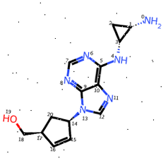 N[C@H]1C[C@H]1Nc1ncnc2c1ncn2[C@H]1C=C[C@@H](CO)C1